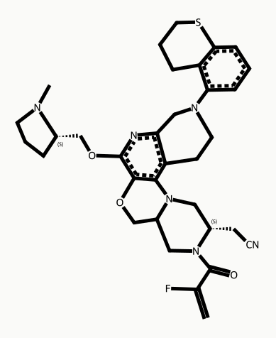 C=C(F)C(=O)N1CC2COc3c(OC[C@@H]4CCCN4C)nc4c(c3N2C[C@@H]1CC#N)CCN(c1cccc2c1CCCS2)C4